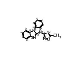 Cc1nc(-n2c3ccccc3n3c4ccccc4nc23)no1